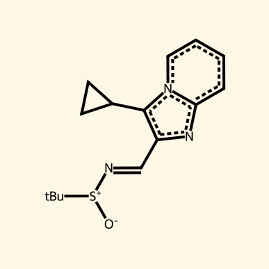 CC(C)(C)[S+]([O-])/N=C/c1nc2ccccn2c1C1CC1